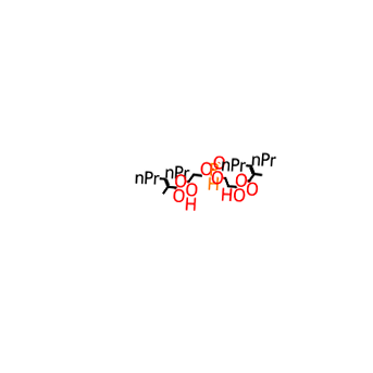 CCCC(CCC)=C(C)C(=O)OC(O)CCO[PH](=O)OCCC(O)OC(=O)C(C)=C(CCC)CCC